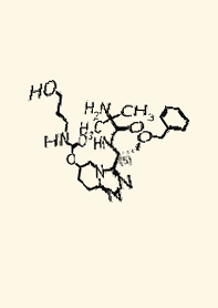 CC(C)(N)C(=O)N[C@H](COCc1ccccc1)c1nnc2n1CC(OC(=O)NCCCO)CC2